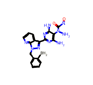 Bc1ccccc1Cn1nc(-c2nc(N)c(N(N)C(=O)N=O)c(N)n2)c2cccnc21